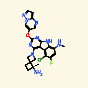 CNc1cc(F)c(Cl)c2c1[nH]c1nc(Oc3cnc4ccnn4c3)nc(N3CC4(CC[C@]4(C)N)C3)c12